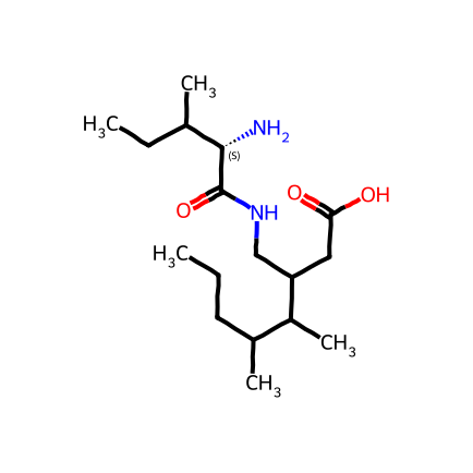 CCCC(C)C(C)C(CNC(=O)[C@@H](N)C(C)CC)CC(=O)O